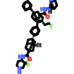 CC[C@]12CC3CC(C(=O)NC4CCNCC4(F)F)(C1)C[C@@](c1ccc(C4C5CC6(C(=O)N[C@@H]7CN8CCC7CC8)C[C@@](c7ccccc7)(C5)C[C@]4(CCF)C6)cc1)(C3)C2